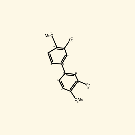 CCc1cc(-c2ccc(OC)c(CC)c2)ccc1OC